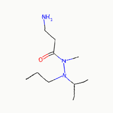 CCCN(C(C)C)N(C)C(=O)CCN